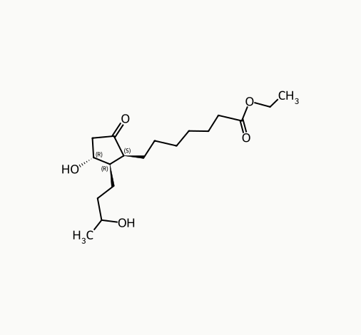 CCOC(=O)CCCCCC[C@@H]1C(=O)C[C@@H](O)[C@@H]1CCC(C)O